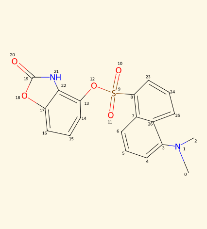 CN(C)c1cccc2c(S(=O)(=O)Oc3cccc4oc(=O)[nH]c34)cccc12